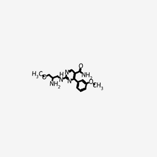 COCC(N)CNc1ncc(C(N)=O)c(-c2cccc(OC)c2)n1